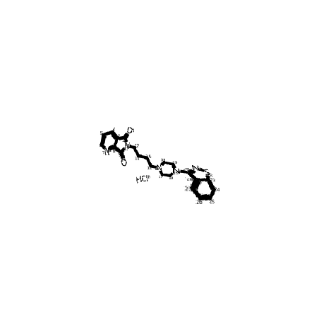 Cl.O=C1c2cccnc2C(=O)N1CCCCN1CCN(c2nsc3ccccc23)CC1